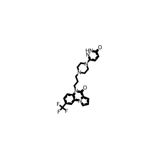 O=c1ccc(N2CCN(CCCn3c(=O)c4cccn4c4cc(C(F)(F)F)ccc43)CC2)n[nH]1